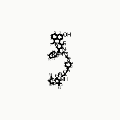 CCc1cccc2cc(O)cc(-c3ncc4c(N5CC6CCC(C5)N6)nc(OCCN5CCC(COCC(=O)NC(C(=O)N6CCCC6C)C(C)(C)C)CC5)nc4c3F)c12